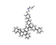 C=C/C=C\CCc1ccc(-c2ccc(N(c3ccc(-c4ccccc4)cc3)c3ccc(-c4cccc5c4sc4ccccc45)c(-c4ccccc4)c3)cc2)cc1